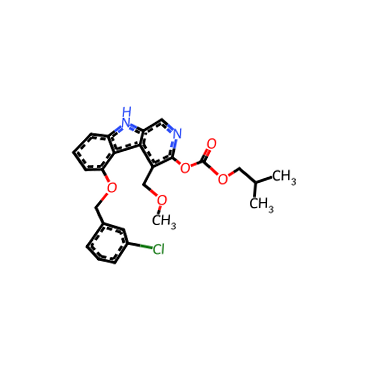 COCc1c(OC(=O)OCC(C)C)ncc2[nH]c3cccc(OCc4cccc(Cl)c4)c3c12